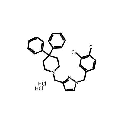 Cl.Cl.Clc1ccc(Cn2ccc(CN3CCC(c4ccccc4)(c4ccccc4)CC3)n2)cc1Cl